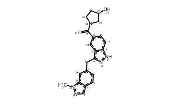 Cn1ncc2ccc(Cc3n[nH]c4ccc(C(=O)N5CC[C@@H](O)C5)cc34)cc21